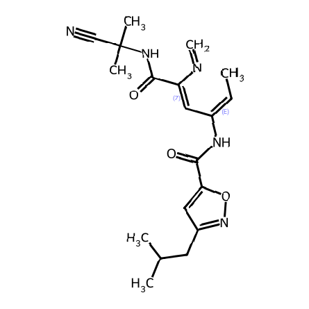 C=N/C(=C\C(=C/C)NC(=O)c1cc(CC(C)C)no1)C(=O)NC(C)(C)C#N